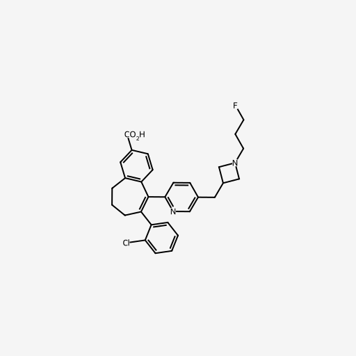 O=C(O)c1ccc2c(c1)CCCC(c1ccccc1Cl)=C2c1ccc(CC2CN(CCCF)C2)cn1